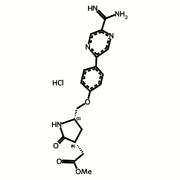 COC(=O)C[C@H]1C[C@@H](COc2ccc(-c3cnc(C(=N)N)cn3)cc2)NC1=O.Cl